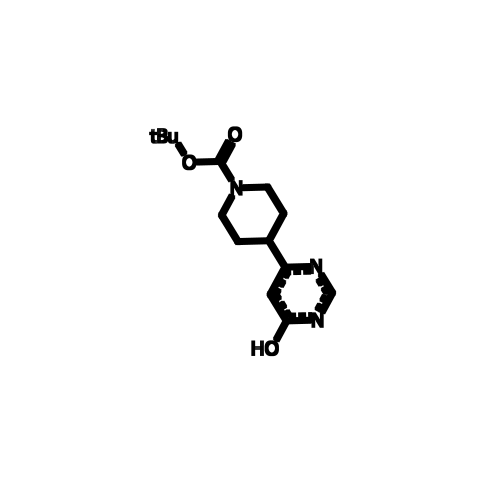 CC(C)(C)OC(=O)N1CCC(c2cc(O)ncn2)CC1